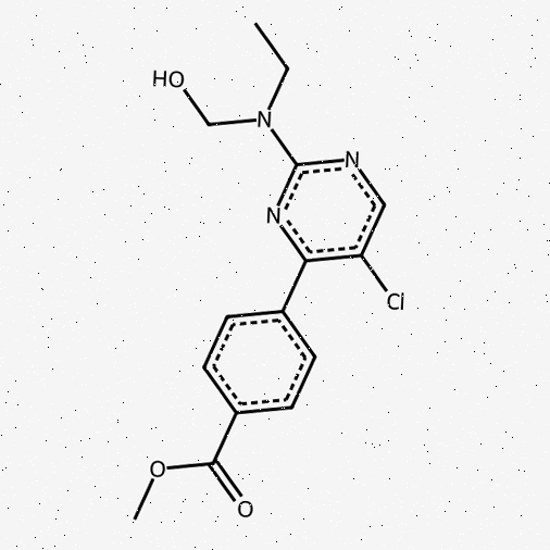 CCN(CO)c1ncc(Cl)c(-c2ccc(C(=O)OC)cc2)n1